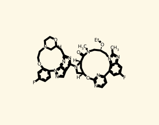 CCO[C@H]1CN(C)C(=O)[C@@H]2C[C@@H](CN2c2nc3nc4c2cnn4-c2ccc(F)cc2OCCN2CCO[C@H](C3)C2)Oc2nccc(n2)-c2cc(F)cc3nc(C)n(c23)C1